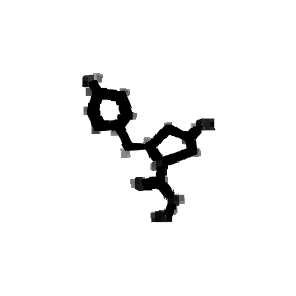 CC(C)(C)OC(=O)N1CC(O)C[C@@H]1Cc1ccc(Cl)cc1